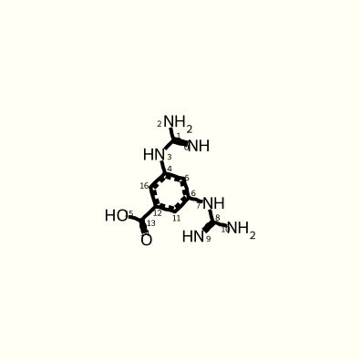 N=C(N)Nc1cc(NC(=N)N)cc(C(=O)O)c1